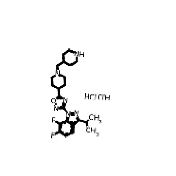 CC(C)c1nn(-c2noc(C3CCN(CC4CCNCC4)CC3)n2)c2c(F)c(F)ccc12.Cl.Cl